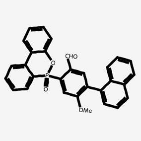 COc1cc(P2(=O)Oc3ccccc3-c3ccccc32)c(C=O)cc1-c1cccc2ccccc12